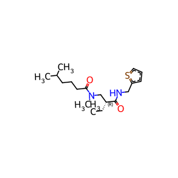 CC[C@H](CN(C)C(=O)CCCC(C)C)C(=O)NCc1cccs1